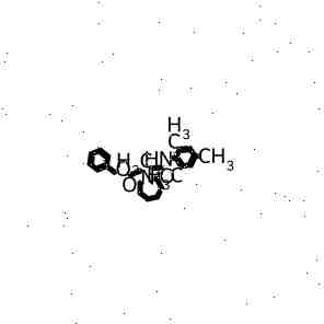 Cc1cc(C)c(NC(=O)C(C)[N+]2(CC(=O)OCc3ccccc3)CCCCCC2)c(C)c1